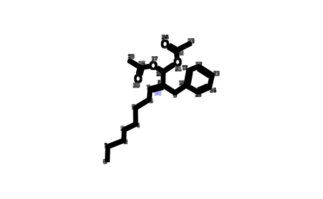 CCCCCCC/C=C(\Cc1ccccc1)C(OC(C)=O)OC(C)=O